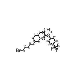 CN(CC1CCC(CCCCCBr)CC1)C(=O)Oc1ccc(C(F)(F)F)cc1